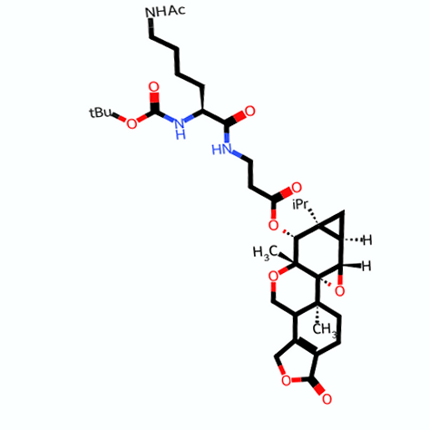 CC(=O)NCCCC[C@H](NC(=O)OC(C)(C)C)C(=O)NCCC(=O)O[C@@H]1[C@@]2(C(C)C)C[C@H]2[C@@H]2O[C@@]23[C@@]2(C)CCC4=C(COC4=O)C2CO[C@]13C